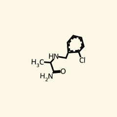 CC(NCc1ccccc1Cl)C(N)=O